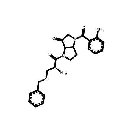 Cc1ccccc1C(=O)N1CC(=O)C2C1CCN2C(=O)[C@@H](N)CSCc1ccccc1